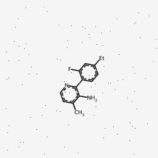 CCc1ccc(-c2nccc(C)c2N)c(F)c1